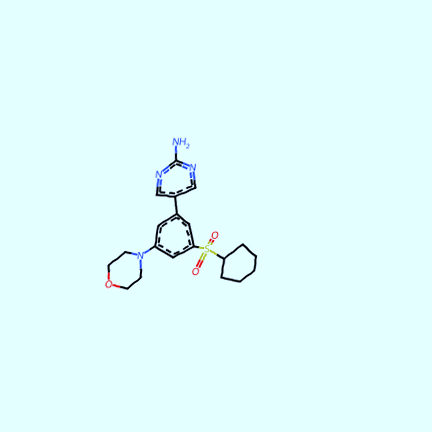 Nc1ncc(-c2cc(N3CCOCC3)cc(S(=O)(=O)C3CCCCC3)c2)cn1